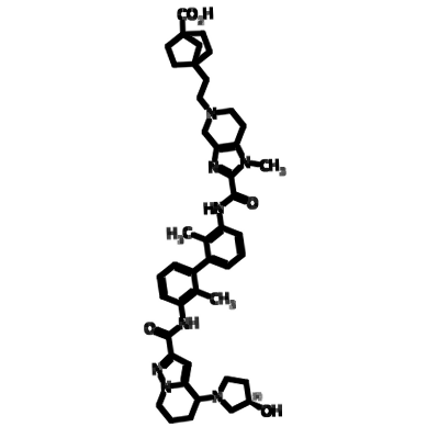 Cc1c(NC(=O)c2cc3n(n2)CCCC3N2CC[C@@H](O)C2)cccc1-c1cccc(NC(=O)c2nc3c(n2C)CCN(CCC24CCC(C(=O)O)(CC2)C4)C3)c1C